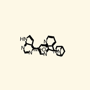 COc1ncccc1CN1C2CC1CN(c1ccc(-c3ncnc4[nH]ccc34)cn1)C2